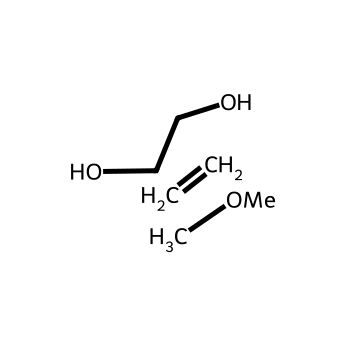 C=C.COC.OCCO